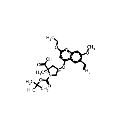 C=Cc1cc2c(O[C@H]3CN(C(=O)OC(C)(C)C)[C@](C)(C(=O)O)C3)cc(OCC)nc2cc1OC